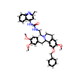 COc1ccc(CC2c3cc(OCc4ccccc4)c(OC)cc3CCN2CCNC(=O)Nc2cc(C)nc3ccccc23)cc1OC